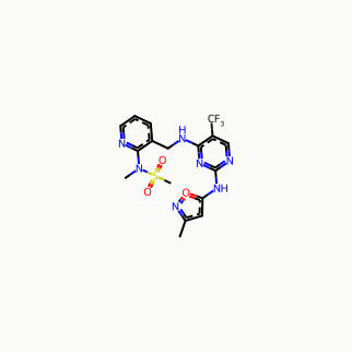 Cc1cc(Nc2ncc(C(F)(F)F)c(NCc3cccnc3N(C)S(C)(=O)=O)n2)on1